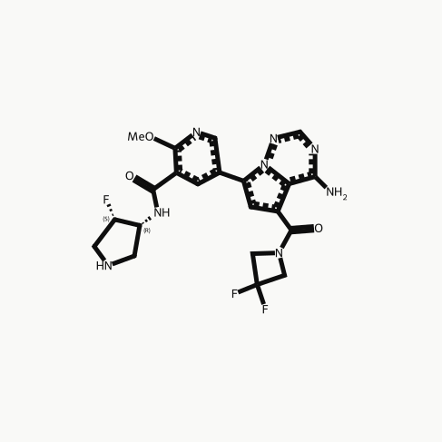 COc1ncc(-c2cc(C(=O)N3CC(F)(F)C3)c3c(N)ncnn23)cc1C(=O)N[C@@H]1CNC[C@@H]1F